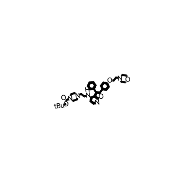 CC(C)(C)OC(=O)N1CCN(CCNc2ccnc3oc(-c4ccc(OCCN5CCOCC5)cc4)c(-c4ccccc4)c23)CC1